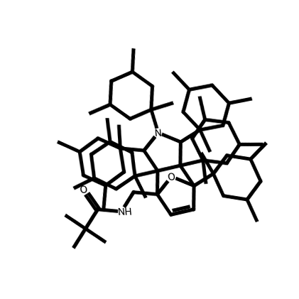 CC1CC(C)CC(C)(C2N(C3(C)CC(C)CC(C)C3)C(C3(C)CC(C)CC(C)C3)C3(C4(C)CC(C)CC(C)C4)C4(C5(C)CC(C)CC(C)C5)C=CC(CNC(=O)C(C)(C)C)(O4)C23C2(C)CC(C)CC(C)C2)C1